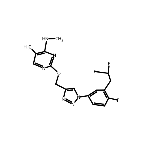 CNc1nc(OCc2cn(-c3ccc(F)c(CC(F)F)c3)nn2)ncc1C